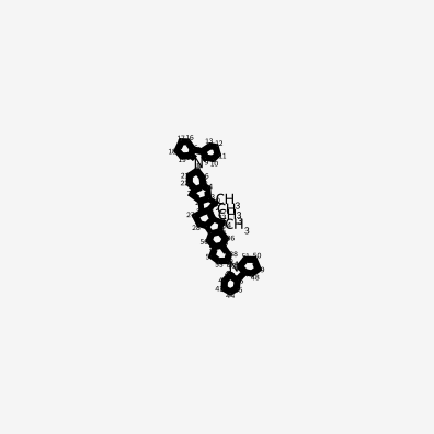 CC1(C)c2cc3cc(-n4c5ccccc5c5ccccc54)ccc3cc2-c2ccc3c(c21)C(C)(C)c1cc2cc(-n4c5ccccc5c5ccccc54)ccc2cc1-3